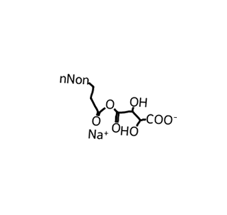 CCCCCCCCCCCC(=O)OC(=O)C(O)C(O)C(=O)[O-].[Na+]